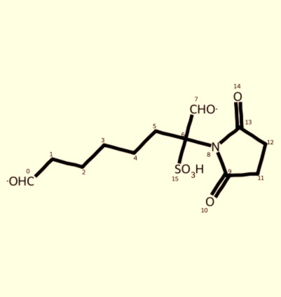 O=[C]CCCCCC([C]=O)(N1C(=O)CCC1=O)S(=O)(=O)O